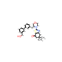 CC1(C)CC(=O)c2sc(N3CCOC[C@@H]3Cc3cccc(-c4cccc(CO)c4)c3)nc2C1